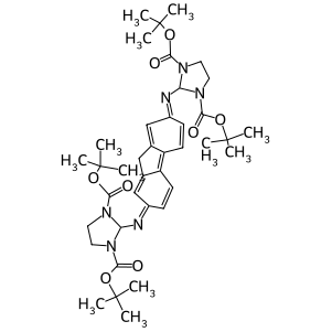 CC(C)(C)OC(=O)N1CCN(C(=O)OC(C)(C)C)C1N=C1C=CC2=C3C=CC(=NC4N(C(=O)OC(C)(C)C)CCN4C(=O)OC(C)(C)C)C=C3CC2=C1